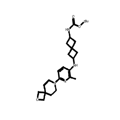 Cc1nc(N2CCC3(CC2)COC3)ccc1NC1CC2(CC(NC(=O)OC(C)(C)C)C2)C1